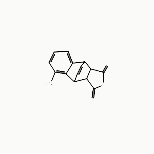 O=C1OC(=O)C2C3C=CC(c4cccc([N+](=O)[O-])c43)C12